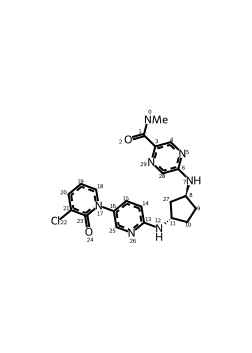 CNC(=O)c1cnc(N[C@H]2CC[C@H](Nc3ccc(-n4cccc(Cl)c4=O)cn3)C2)cn1